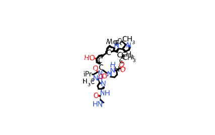 CCn1c(-c2cccnc2[C@H](C)OC)c2c3cc(ccc31)-c1cc(O)cc(c1)C[C@H](NC(=O)C(C(C)C)N(C)C(=O)c1ccc(NC(=O)[C@@H]3CN3)cn1)C(=O)N1CCC[C@H](N1)C(=O)OCC(C)(C)C2